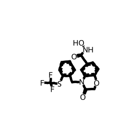 O=C(NO)c1ccc2c(c1)N(Cc1ccccc1SC(F)(F)F)C(=O)CO2